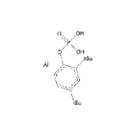 CC(C)(C)c1ccc(OP(=O)(O)O)c(C(C)(C)C)c1.[Al]